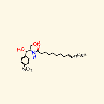 CCCCCC/C=C/CCCCCCCC(=O)N[C@H](CO)[C@@H](O)c1ccc([N+](=O)[O-])cc1